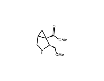 COC[C@H]1NCC2C[C@@]21C(=O)OC